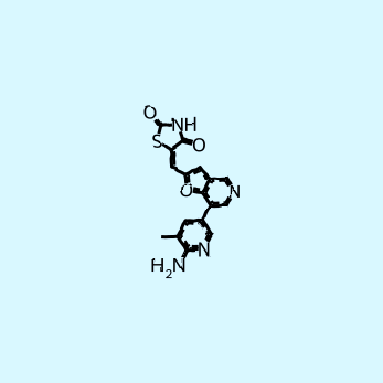 Cc1cc(-c2cncc3cc(/C=C4/SC(=O)NC4=O)oc23)cnc1N